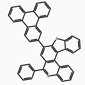 c1ccc(-c2nc3ccccc3c3c2cc(-c2ccc4c5ccccc5c5ccccc5c4c2)c2sc4ccccc4c23)cc1